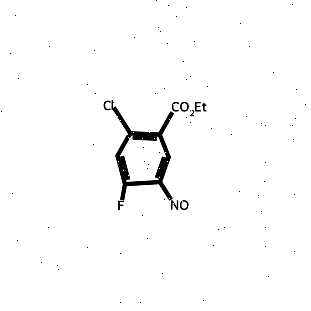 CCOC(=O)c1cc(N=O)c(F)cc1Cl